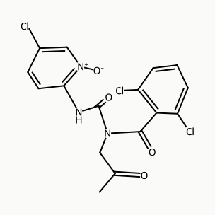 CC(=O)CN(C(=O)Nc1ccc(Cl)c[n+]1[O-])C(=O)c1c(Cl)cccc1Cl